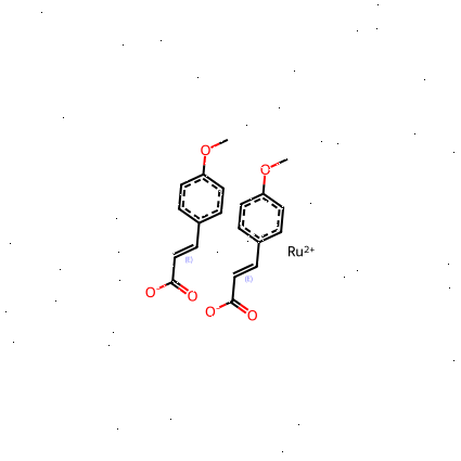 COc1ccc(/C=C/C(=O)[O-])cc1.COc1ccc(/C=C/C(=O)[O-])cc1.[Ru+2]